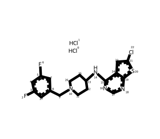 Cl.Cl.Fc1cc(F)cc(CN2CCC(Nc3ncnc4sc(Cl)cc34)CC2)c1